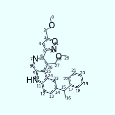 COCc1cc(-c2ncc3[nH]c4ccc(C(C)c5ccccc5)cc4c3c2COC)no1